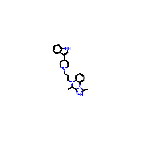 Cc1nnc2n1-c1ccccc1N(CCCN1CCC(c3c[nH]c4ccccc34)CC1)C2C